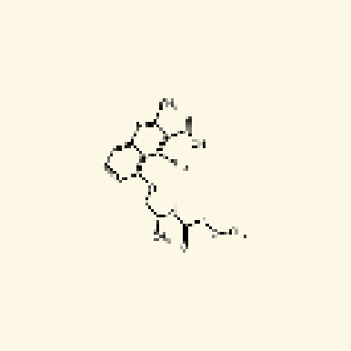 COCC(=O)N[C@@H](C)COc1cccc2nc(C)c(C(=O)O)c(N)c12